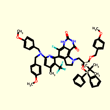 COc1ccc(COC[C@@H](CN2CCc3c(-c4nc(N(Cc5ccc(OC)cc5)Cc5ccc(OC)cc5)cc(C)c4C(F)(F)F)c(F)c4[nH]c(=O)[nH]c(=O)c4c32)O[Si](c2ccccc2)(c2ccccc2)C(C)(C)C)cc1